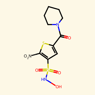 O=C(c1cc(S(=O)(=O)NO)c([N+](=O)[O-])s1)N1CCCCC1